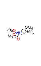 COC(=O)[C@H](Cc1ccc(OC)c([N+](=O)[O-])c1)NC(=O)OC(C)(C)C